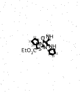 CCOC(=O)C(Sc1nc(Nc2ccccc2)c(C=N)c(=O)[nH]1)c1ccccc1